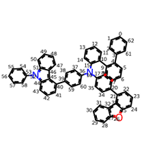 c1ccc(-c2ccccc2-c2ccccc2N(c2ccc(-c3cccc4oc5ccccc5c34)cc2)c2ccc(-c3cccc4c3c3ccccc3n4-c3ccccc3)cc2)cc1